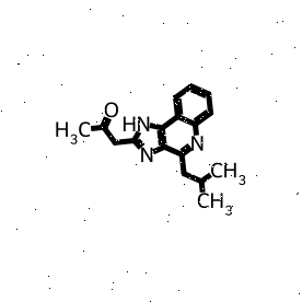 CC(=O)Cc1nc2c(CC(C)C)nc3ccccc3c2[nH]1